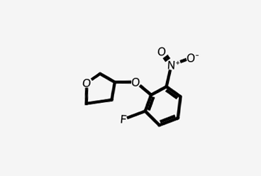 O=[N+]([O-])c1cccc(F)c1OC1CCOC1